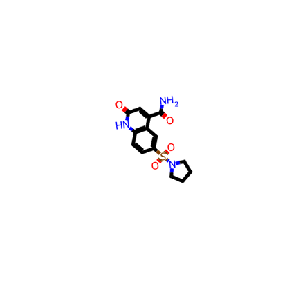 NC(=O)c1cc(=O)[nH]c2ccc(S(=O)(=O)N3CCCC3)cc12